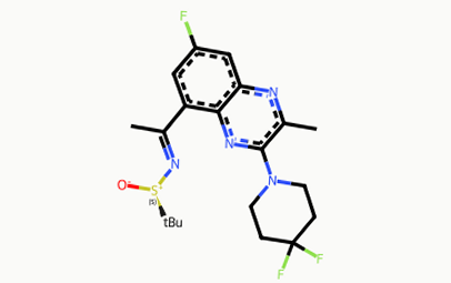 CC(=N[S@+]([O-])C(C)(C)C)c1cc(F)cc2nc(C)c(N3CCC(F)(F)CC3)nc12